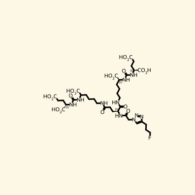 O=C(O)CC[C@H](NC(=O)NC(CCCCNC(=O)CC[C@H](NC(=O)Cn1cc(CCCF)nn1)C(=O)NCCCC[C@H](NC(=O)N[C@@H](CCC(=O)O)C(=O)O)C(=O)O)C(=O)O)C(=O)O